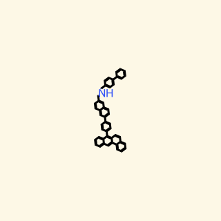 c1ccc(-c2ccc(CNCc3ccc4cc(-c5ccc(-c6c7ccccc7cc7c6ccc6ccccc67)cc5)ccc4c3)cc2)cc1